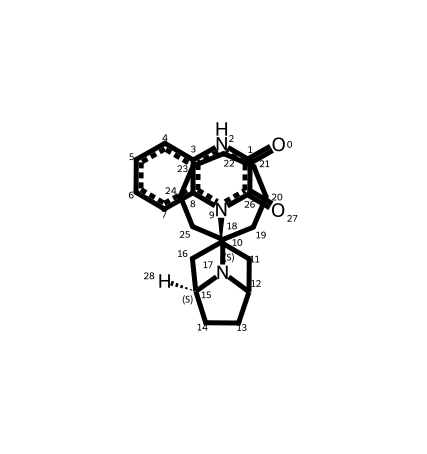 O=c1[nH]c2ccccc2n([C@H]2CC3CC[C@@H](C2)N3C2CCCCCCC2)c1=O